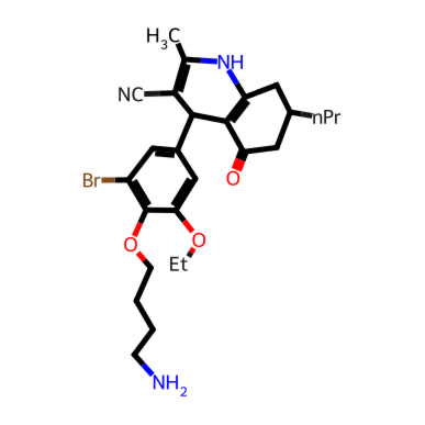 CCCC1CC(=O)C2=C(C1)NC(C)=C(C#N)C2c1cc(Br)c(OCCCCN)c(OCC)c1